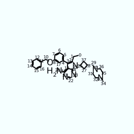 CCc1c(-c2cccc(OCc3ccccc3)c2)c2c(N)ncnc2n1[C@H]1C[C@@H](CN2CCN(C)CC2)C1